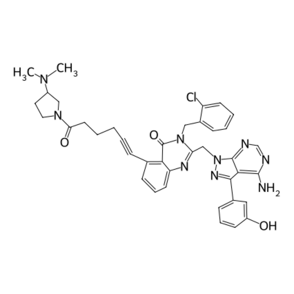 CN(C)C1CCN(C(=O)CCCC#Cc2cccc3nc(Cn4nc(-c5cccc(O)c5)c5c(N)ncnc54)n(Cc4ccccc4Cl)c(=O)c23)C1